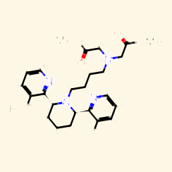 COC(=O)CN(CCCCN1[C@@H](c2ncccc2C)CCC[C@H]1c1ncccc1C)CC(=O)OC